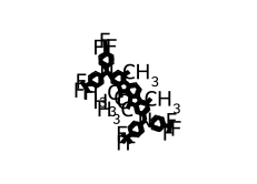 Cc1cc(N(c2ccc(C(F)(F)F)cc2)c2ccc(C(F)(F)F)cc2)cc2c1-c1ccc3c(c1C2(C)C)C(C)(C)c1cc(N(c2ccc(C(F)(F)F)cc2)c2ccc(C(F)(F)F)cc2)cc(C)c1-3